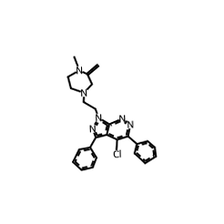 C=C1CN(CCn2nc(-c3ccccc3)c3c(Cl)c(-c4ccccc4)nnc32)CCN1C